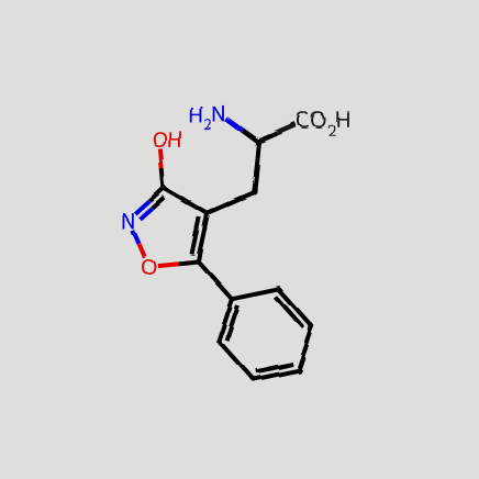 NC(Cc1c(O)noc1-c1ccccc1)C(=O)O